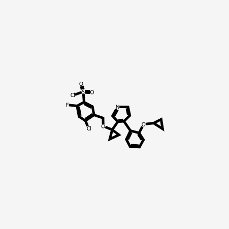 O=S(=O)(Cl)c1cc(COC2(c3cnccc3-c3ccccc3OC3CC3)CC2)c(Cl)cc1F